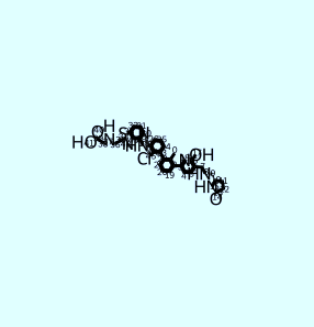 Cc1c(-c2ccc(CNC[C@@H]3CCC(=O)N3)c(O)n2)cccc1-c1cccc(Nc2nccc3sc(CNCC(=O)O)nc23)c1Cl